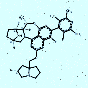 Cc1nc(N)c(F)c(-c2nc3c4c(nc(OCC56CCCN5C[C@H](F)C6)nc4c2F)N2C[C@H]4CC[C@H](N4)[C@H]2[C@H](C)O3)c1C(F)(F)F